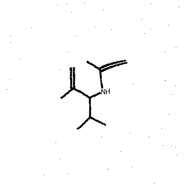 C=C(C)NC(C(=C)C)C(C)C